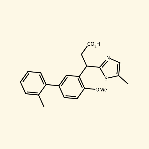 COc1ccc(-c2ccccc2C)cc1C(CC(=O)O)c1ncc(C)s1